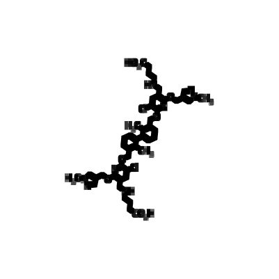 Cc1c(COc2nc(OCc3cnn(C)c3)c(CNCCCC(=O)O)cc2Cl)cccc1-c1cccc(COc2nc(OCc3cnn(C)c3)c(CNCCCC(=O)O)cc2Cl)c1C